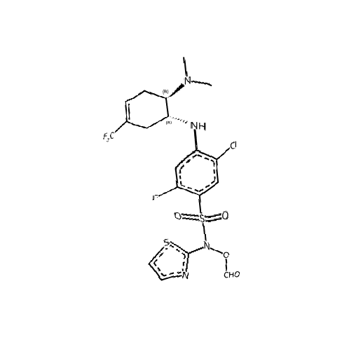 CN(C)[C@@H]1CC=C(C(F)(F)F)C[C@H]1Nc1cc(F)c(S(=O)(=O)N(OC=O)c2nccs2)cc1Cl